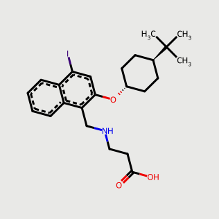 CC(C)(C)[C@H]1CC[C@H](Oc2cc(I)c3ccccc3c2CNCCC(=O)O)CC1